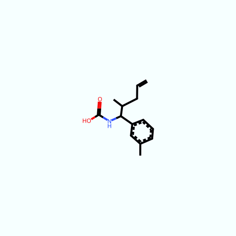 C=CCC(C)C(NC(=O)O)c1cccc(C)c1